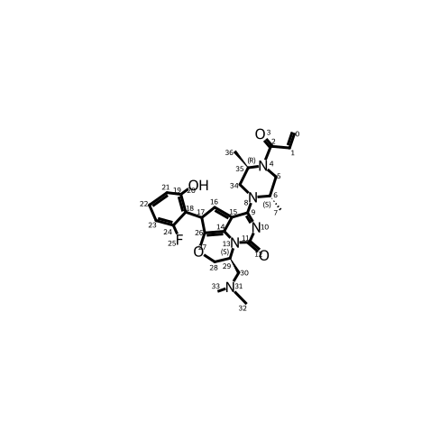 C=CC(=O)N1C[C@H](C)N(c2nc(=O)n3c4c2=CC(c2c(O)cccc2F)C=4OC[C@@H]3CN(C)C)C[C@H]1C